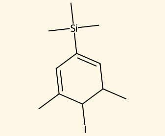 CC1=CC([Si](C)(C)C)=CC(C)C1I